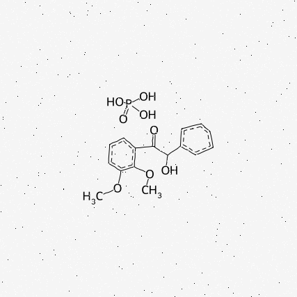 COc1cccc(C(=O)C(O)c2ccccc2)c1OC.O=P(O)(O)O